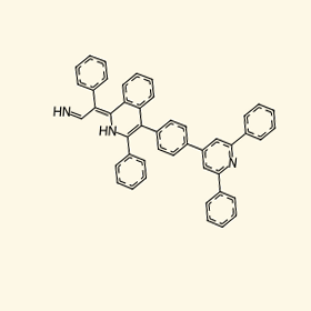 N=C/C(=C1\NC(c2ccccc2)=C(c2ccc(-c3cc(-c4ccccc4)nc(-c4ccccc4)c3)cc2)c2ccccc21)c1ccccc1